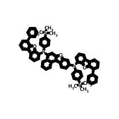 C[Si](C)(C)c1ccc(N(c2ccc3c(c2)oc2cc(N(c4ccc([Si](C)(C)C)cc4)c4cccc5c4oc4c(-c6ccccc6)cccc45)c4ccccc4c23)c2cccc3c2oc2c(-c4ccccc4)cccc23)cc1